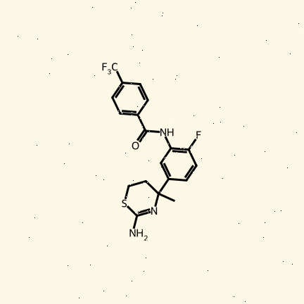 CC1(c2ccc(F)c(NC(=O)c3ccc(C(F)(F)F)cc3)c2)CCSC(N)=N1